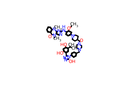 CCOc1cc(N2CCC(C(=O)N3CCN(Cc4ccc(-n5c(O)nnc5-c5cc(C(C)C)c(O)cc5O)cc4)CC3)CC2)ccc1Nc1ncc2c(n1)N(C)c1ccccc1C(=O)N2C